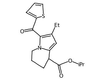 CCc1cc2n(c1C(=O)c1cccs1)CCCC2C(=O)OC(C)C